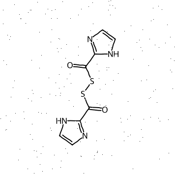 O=C(SSC(=O)c1ncc[nH]1)c1ncc[nH]1